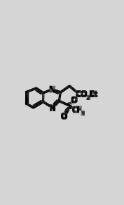 CCOC(=O)Cc1nc2ccccc2nc1S(=O)(=O)C(F)(F)F